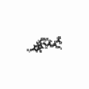 CCC(=O)O[C@@H](C)OC(=O)NC[C@]1(CC(=O)O)C[C@H]2CC(C)=C[C@H]21